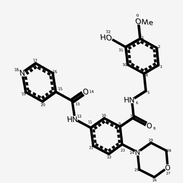 COc1ccc(CNC(=O)c2cc(NC(=O)c3ccncc3)ccc2N2CCOCC2)cc1O